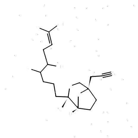 CC(C)=CCC(O)C(C)CCC[C@]1(C)OC[C@]2(CC#N)CC[C@H]1O2